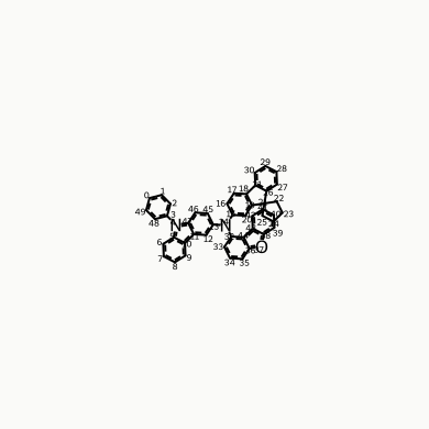 c1ccc(-n2c3ccccc3c3cc(N(c4ccc5c(c4)C4(CCCC4)c4ccccc4-5)c4cccc5oc6ccccc6c45)ccc32)cc1